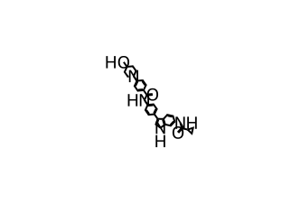 O=C(Nc1ccc(-c2c[nH]c3cc(NC(=O)C4CC4)ccc23)cc1)c1ccc(N2CCC(O)CC2)cc1